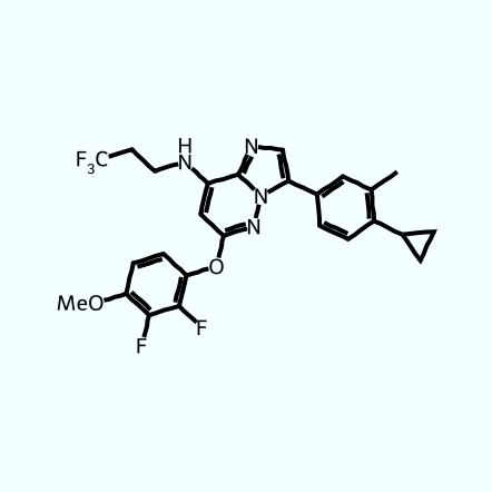 COc1ccc(Oc2cc(NCCC(F)(F)F)c3ncc(-c4ccc(C5CC5)c(C)c4)n3n2)c(F)c1F